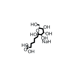 O=P(O)(O)CCCCC[C@@]1(O)O[C@H](CO)[C@@H](O)[C@H](O)[C@H]1O.[NaH]